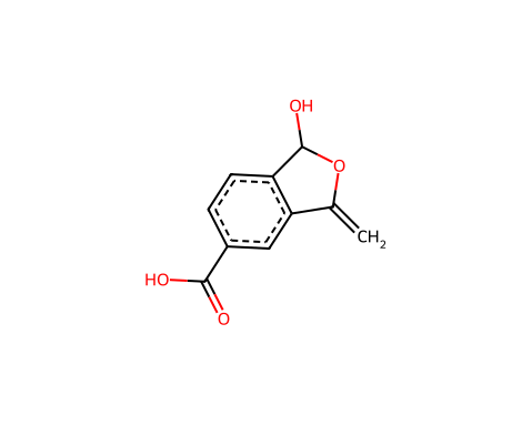 C=C1OC(O)c2ccc(C(=O)O)cc21